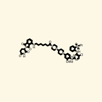 COc1cc(N2CCC(N3CCN(C(=O)CCCCCCNc4cccc5c4C(=O)N(C4CCC(=O)NC4=O)C5=O)CC3)CC2)ccc1Nc1ncc(Cl)c(Nc2ccccc2S(=O)(=O)C(C)C)n1